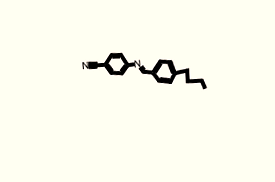 CCCCc1ccc(C=Nc2ccc(C#N)cc2)cc1